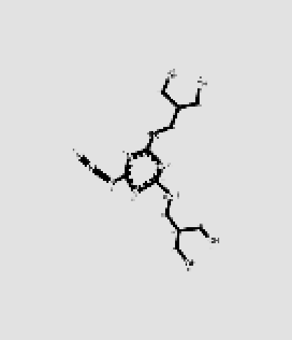 [N-]=[N+]=Nc1nc(NCC(CO)CO)nc(NCC(CO)CO)n1